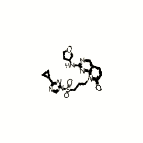 O=c1ccc2cnc(NC3CCOC3)nc2n1CCCS(=O)(=O)n1cnc(C2CC2)n1